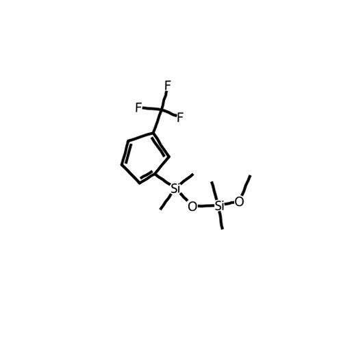 CO[Si](C)(C)O[Si](C)(C)c1cccc(C(F)(F)F)c1